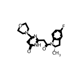 C[C@H]1Cc2cc(F)ccc2N1C(=O)Cc1nc(N2CCOCC2)cc(=O)[nH]1